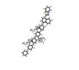 CC1(C)c2cc(-c3ccccc3)ccc2-c2cc3c(cc21)-c1cc2c(cc1C3(C)C)-c1ccc(-c3ccc(-c4nc5ccccc5s4)c4ccccc34)cc1C2(C)C